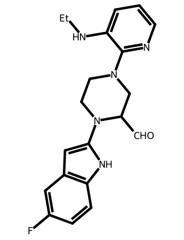 CCNc1cccnc1N1CCN(c2cc3cc(F)ccc3[nH]2)C(C=O)C1